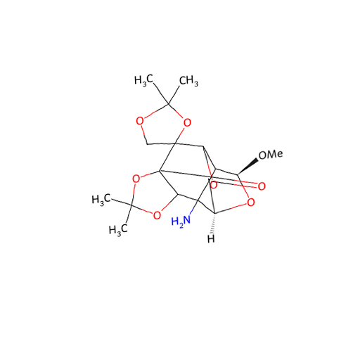 CO[C@H]1O[C@@H]2C(=O)OC3C1C2(N)C1OC(C)(C)OC1C31COC(C)(C)O1